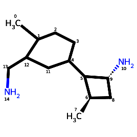 CC1CCC(C2[C@H](C)C[C@H]2N)CC1CN